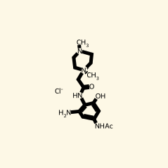 CC(=O)Nc1cc(N)c(NC(=O)C[N+]2(C)CCN(C)CC2)c(O)c1.[Cl-]